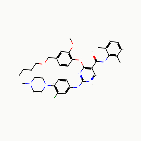 CCCCOCc1ccc(Oc2nc(Nc3ccc(N4CCN(C)CC4)c(F)c3)ncc2C(=O)Nc2c(C)cccc2C)c(OC)c1